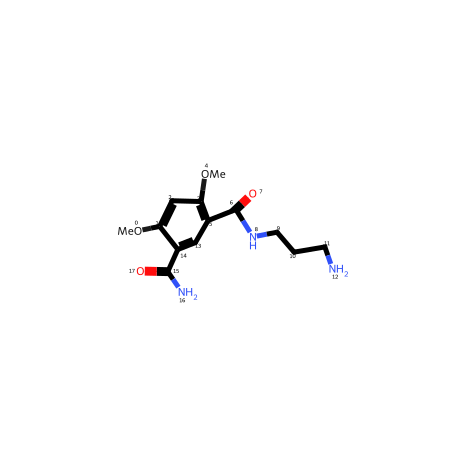 COc1cc(OC)c(C(=O)NCCCN)cc1C(N)=O